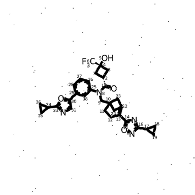 O=C([C@H]1C[C@](O)(C(F)(F)F)C1)N(CC12CCC(c3nc(C4CC4)no3)=C(C1)C2)c1cccc(-c2cnc(C3CC3)o2)c1